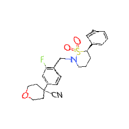 N#CC1(c2ccc(CN3CCC[C@H](c4ccccc4)S3(=O)=O)c(F)c2)CCOCC1